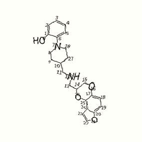 Oc1ccccc1N1CCC(CNCC2COc3ccc4occc4c3O2)CC1